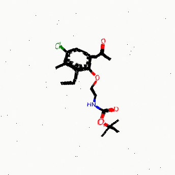 C=Cc1c(C)c(Cl)cc(C(C)=O)c1OCCNC(=O)OC(C)(C)C